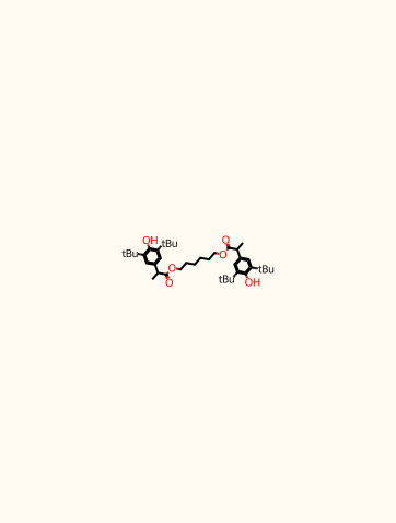 CC(C(=O)OCCCCCCOC(=O)C(C)c1cc(C(C)(C)C)c(O)c(C(C)(C)C)c1)c1cc(C(C)(C)C)c(O)c(C(C)(C)C)c1